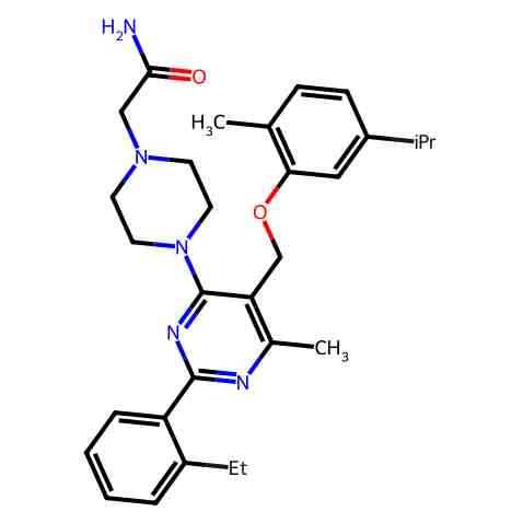 CCc1ccccc1-c1nc(C)c(COc2cc(C(C)C)ccc2C)c(N2CCN(CC(N)=O)CC2)n1